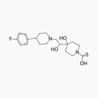 OC(=S)N1CCC(O)(C(O)CN2CCC(c3ccc(F)cc3)CC2)CC1